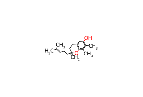 CC(C)=CCC[C@]1(C)CCc2cc(O)c(C)c(C)c2O1